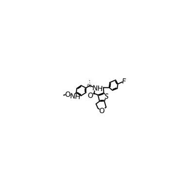 CONc1ccc([C@H](C)NC(=O)c2c(Cc3ccc(F)cc3)sc3c2CCOC3)cc1